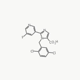 O=C(O)c1cnc(-c2cncc(F)c2)n1Cc1cc(Cl)ccc1Cl